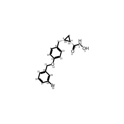 O=C(NO)[C@H]1C[C@H]1Cc1ccc(OCc2cccc(Br)c2)cc1